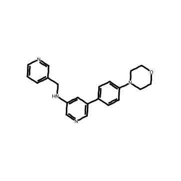 c1cncc(CNc2cncc(-c3ccc(N4CCOCC4)cc3)c2)c1